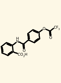 O=C(Nc1ccccc1C(=O)O)c1ccc(OC(=O)C(F)(F)F)cc1